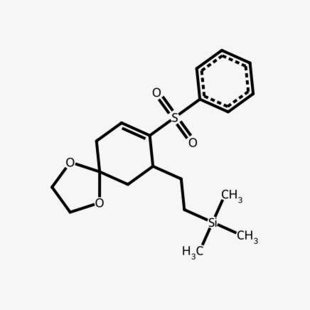 C[Si](C)(C)CCC1CC2(CC=C1S(=O)(=O)c1ccccc1)OCCO2